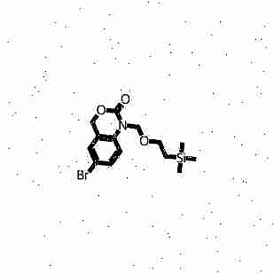 C[Si](C)(C)CCOCN1C(=O)OCc2cc(Br)ccc21